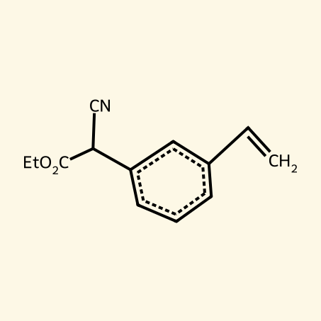 C=Cc1cccc(C(C#N)C(=O)OCC)c1